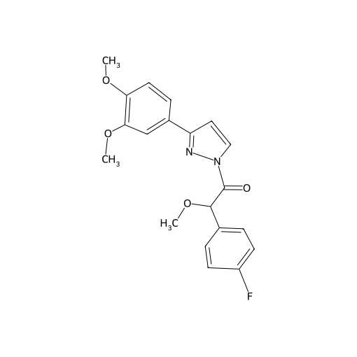 COc1ccc(-c2ccn(C(=O)C(OC)c3ccc(F)cc3)n2)cc1OC